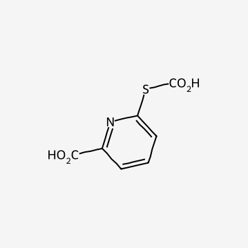 O=C(O)Sc1cccc(C(=O)O)n1